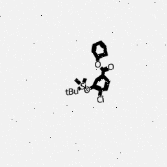 CC(C)(C)[Si](C)(C)Oc1cc(C(=O)Oc2ccccc2)ccc1Cl